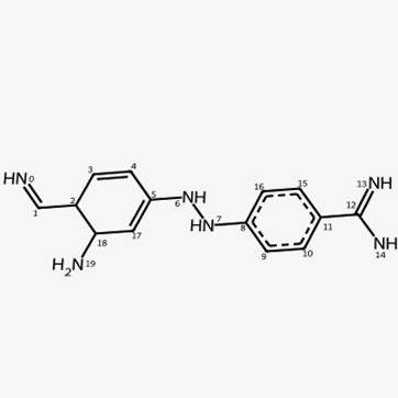 N=CC1C=CC(NNc2ccc(C(=N)N)cc2)=CC1N